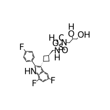 CN(C[C@@H](O)CO)S(=O)(=O)NC[C@H]1C[C@H](c2c(-c3ccc(F)cc3)[nH]c3c(F)cc(F)cc32)C1